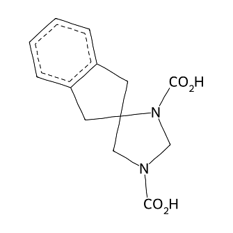 O=C(O)N1CN(C(=O)O)C2(Cc3ccccc3C2)C1